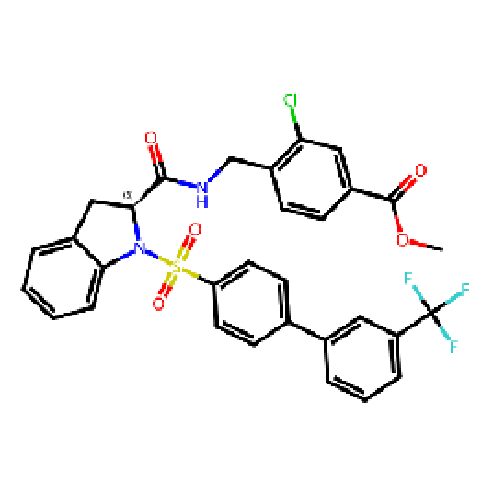 COC(=O)c1ccc(CNC(=O)[C@@H]2Cc3ccccc3N2S(=O)(=O)c2ccc(-c3cccc(C(F)(F)F)c3)cc2)c(Cl)c1